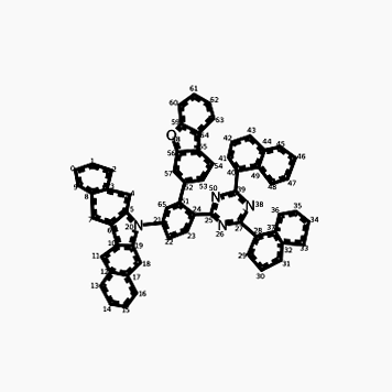 c1ccc2cc3c(cc2c1)c1cc2ccccc2cc1n3-c1ccc(-c2nc(-c3cccc4ccccc34)nc(-c3cccc4ccccc34)n2)c(-c2ccc3c(c2)oc2ccccc23)c1